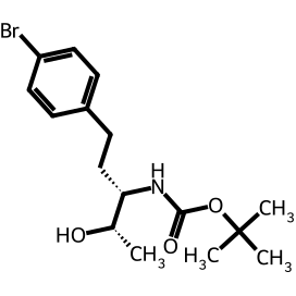 C[C@H](O)[C@H](CCc1ccc(Br)cc1)NC(=O)OC(C)(C)C